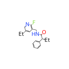 CCc1cnc(F)c(CNC(=O)[C@@H](CC)c2ccccc2)c1